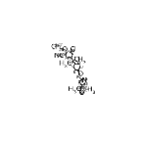 CC(C)(c1ccc(OCc2ncc(P(C)(C)=O)s2)cc1)c1cc(Cl)c(OCCCl)c(C#N)c1